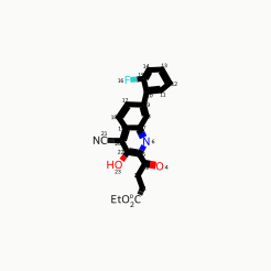 CCOC(=O)CCC(=O)c1nc2cc(-c3ccccc3F)ccc2c(C#N)c1O